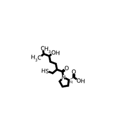 CC(C)C(O)CCC(CS)C(=O)N1CCC[C@H]1C(=O)O